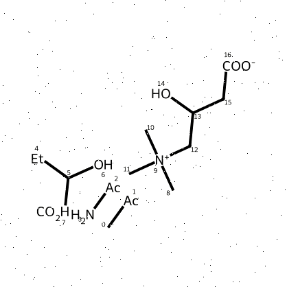 CC(C)=O.CC(N)=O.CCC(O)C(=O)O.C[N+](C)(C)CC(O)CC(=O)[O-]